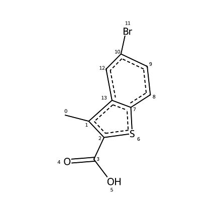 Cc1c(C(=O)O)sc2ccc(Br)cc12